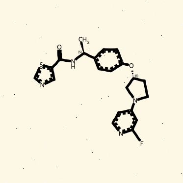 C[C@H](NC(=O)c1cncs1)c1ccc(O[C@@H]2CCN(c3ccnc(F)c3)C2)cc1